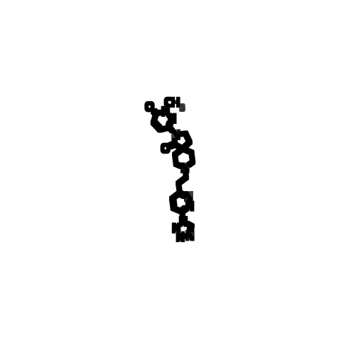 Cn1nc(N2CCC3(CCN(CCc4ccc(-n5cnnn5)nn4)CC3)C2=O)ccc1=O